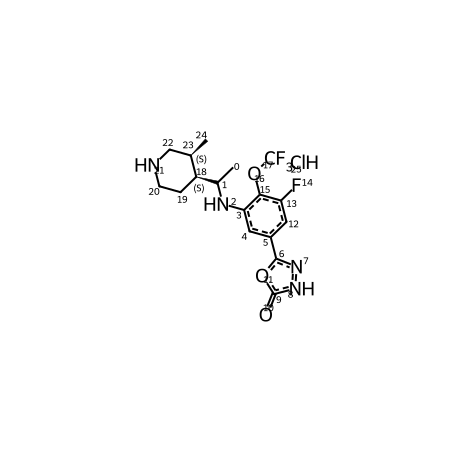 CC(Nc1cc(-c2n[nH]c(=O)o2)cc(F)c1OC(F)(F)F)[C@H]1CCNC[C@H]1C.Cl